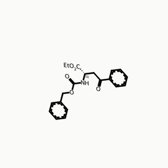 CCOC(=O)[C@H](CC(=O)c1ccccc1)NC(=O)OCc1ccccc1